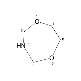 C1COCNCO1